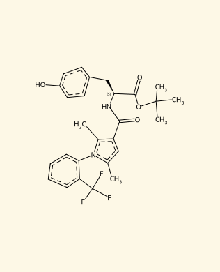 Cc1cc(C(=O)N[C@@H](Cc2ccc(O)cc2)C(=O)OC(C)(C)C)c(C)n1-c1ccccc1C(F)(F)F